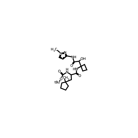 Cn1ccc(NC(=O)C(O)C2(NC(=O)C(CC3(C)CCCC3)NC(=O)OC(C)(C)C)CCC2)n1